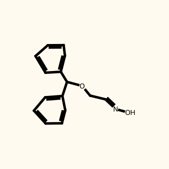 ON=CCOC(c1ccccc1)c1ccccc1